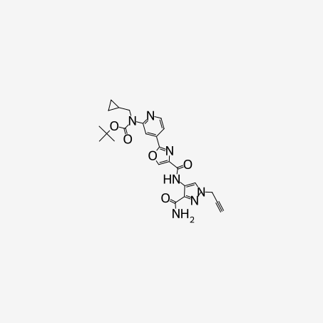 C#CCn1cc(NC(=O)c2coc(-c3ccnc(N(CC4CC4)C(=O)OC(C)(C)C)c3)n2)c(C(N)=O)n1